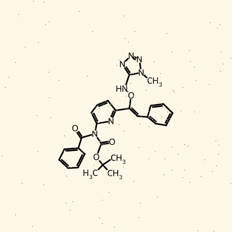 Cn1nnnc1NOC(=Cc1ccccc1)c1cccc(N(C(=O)OC(C)(C)C)C(=O)c2ccccc2)n1